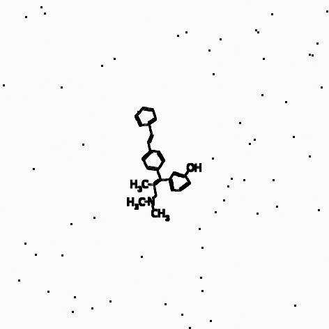 C/C(CN(C)C)=C(\c1ccc(/C=C/c2ccccc2)cc1)c1cccc(O)c1